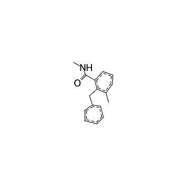 CNC(=O)c1cccc(C)c1Cc1ccccc1